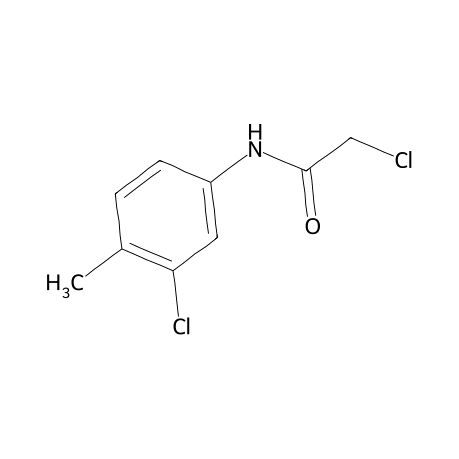 Cc1ccc(NC(=O)CCl)cc1Cl